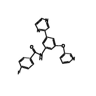 O=C(Nc1cc(Oc2cccnc2)cc(-c2cnccn2)c1)c1ccc(F)cc1